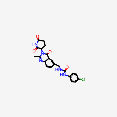 CC1=NC2C=CC(CNC(=O)Nc3ccc(Cl)cc3)=CC2C(=O)N1C1CCC(=O)NC1=O